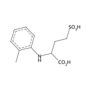 Cc1ccccc1NC(CCS(=O)(=O)O)C(=O)O